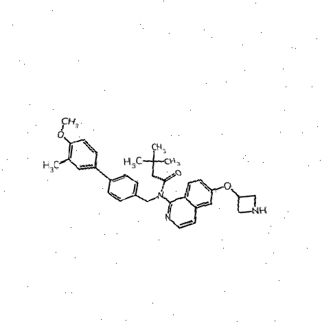 COc1ccc(-c2ccc(CN(C(=O)CC(C)(C)C)c3nccc4cc(OC5CNC5)ccc34)cc2)cc1C